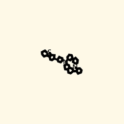 c1ccc(N(c2ccc(-c3ccc4c(c3)sc3ccccc34)cc2)c2ccc3ccc4c5ccccc5n(-c5ccccc5)c4c3c2)cc1